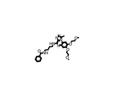 COCCOc1cc2nc(NCCCCNC(=O)c3ccccc3)c3nnc(C)n3c2cc1OCCOC